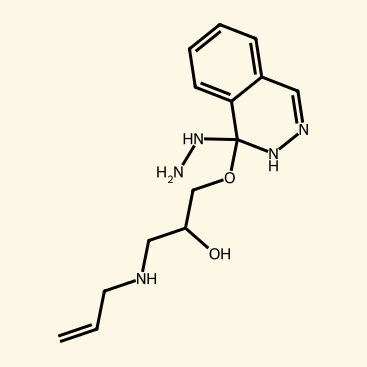 C=CCNCC(O)COC1(NN)NN=Cc2ccccc21